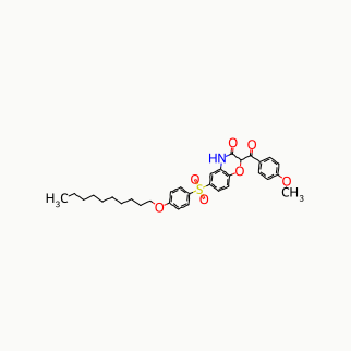 CCCCCCCCCCOc1ccc(S(=O)(=O)c2ccc3c(c2)NC(=O)C(C(=O)c2ccc(OC)cc2)O3)cc1